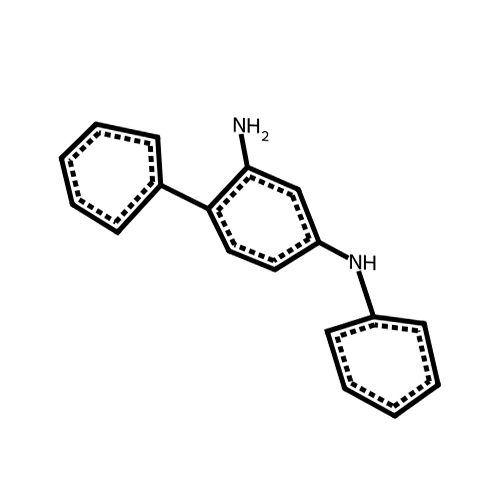 Nc1cc(Nc2ccccc2)ccc1-c1ccccc1